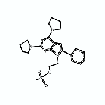 CS(=O)(=O)OCCn1c(-c2ccccc2)cc2c(N3CCCC3)nc(N3CCCC3)nc21